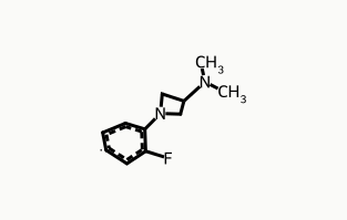 CN(C)C1CN(c2cc[c]cc2F)C1